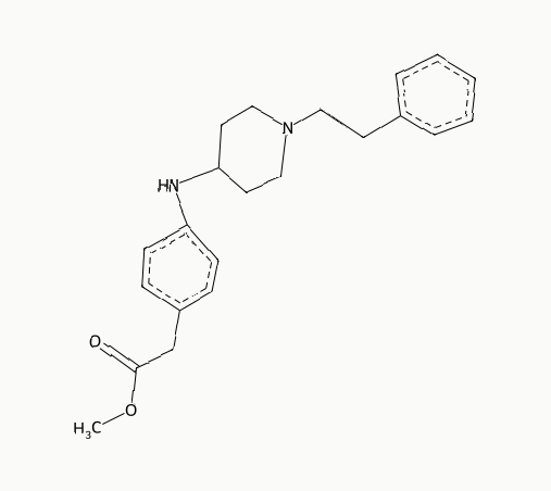 COC(=O)Cc1ccc(NC2CCN(CCc3ccccc3)CC2)cc1